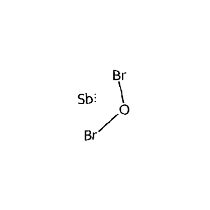 BrOBr.[Sb]